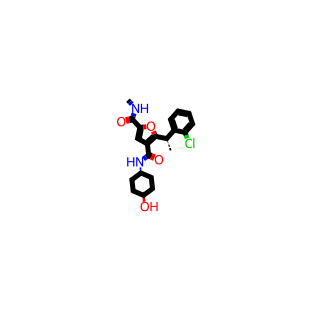 CNC(=O)c1cc(C(=O)N[C@H]2CC[C@H](O)CC2)c([C@@H](C)c2ccccc2Cl)o1